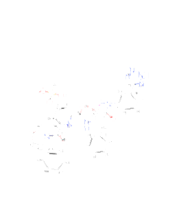 CS(=O)(=O)Oc1cc(C(=O)NC(Cc2ccccc2)[C@H](O)C(=O)Nc2cccc(-c3nn[nH]n3)c2)nc(C(=O)N2COCC2c2ccccc2)c1